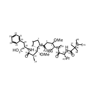 CCC(C)[C@@H](C(CC(=O)N1CCC[C@H]1[C@H](OC)[C@@H](C)C(=O)N[C@@H](Cc1ccccc1)C(=O)O)OC)N(C)C(=O)[C@@H](NC(=O)C(C)(C)N(C)I)C(C)C